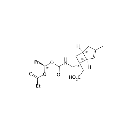 CCC(=O)O[C@H](OC(=O)NC[C@]1(CC(=O)O)C[C@H]2CC(C)=C[C@H]21)C(C)C